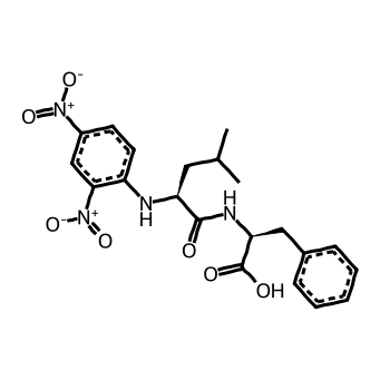 CC(C)C[C@H](Nc1ccc([N+](=O)[O-])cc1[N+](=O)[O-])C(=O)N[C@@H](Cc1ccccc1)C(=O)O